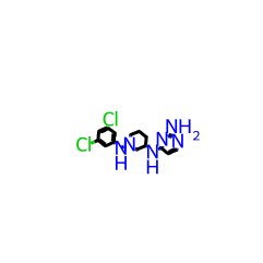 Nc1nccc(N[C@H]2CCCN(Nc3cc(Cl)cc(Cl)c3)C2)n1